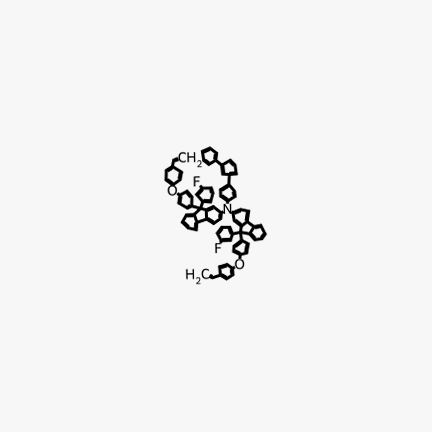 C=Cc1ccc(Oc2ccc(C3(c4cccc(F)c4)c4ccccc4-c4ccc(N(c5ccc(-c6cccc(-c7ccccc7)c6)cc5)c5ccc6c(c5)C(c5ccc(Oc7ccc(C=C)cc7)cc5)(c5cccc(F)c5)c5ccccc5-6)cc43)cc2)cc1